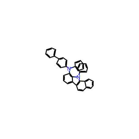 c1ccc(-c2ccc(N(c3ccccc3)c3cccc4c5ccc6ccccc6c5n(-c5ccccc5)c34)cc2)cc1